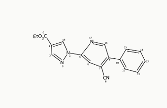 CCOC(=O)c1cnn(-c2cc(C#N)c(-c3ccccc3)cn2)c1